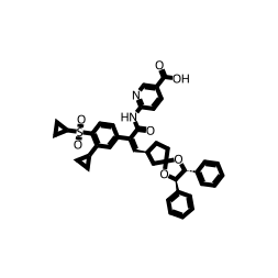 O=C(Nc1ccc(C(=O)O)cn1)C(=C[C@H]1CCC2(C1)O[C@H](c1ccccc1)[C@@H](c1ccccc1)O2)c1ccc(S(=O)(=O)C2CC2)c(C2CC2)c1